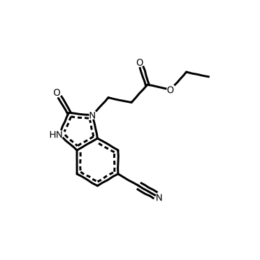 CCOC(=O)CCn1c(=O)[nH]c2ccc(C#N)cc21